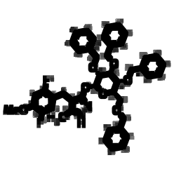 COc1cc(F)c(Cc2c(O[C@@H]3O[C@H](COCc4ccccc4)[C@@H](OCc4ccccc4)[C@H](OCc4ccccc4)[C@H]3OCc3ccccc3)n[nH]c2C)cc1F